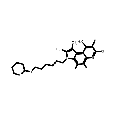 Cc1c(F)c(Cl)nc2c(F)c(F)c3c(c(C)c(C)n3CCCCCCOC3CCCCO3)c12